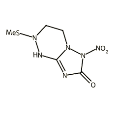 CSN1CCn2c(nc(=O)n2[N+](=O)[O-])N1